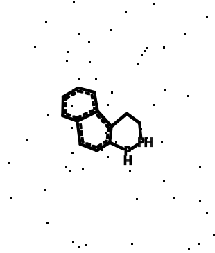 c1ccc2c3c(ccc2c1)PPCC3